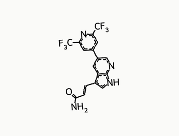 NC(=O)C=Cc1c[nH]c2ncc(-c3cc(C(F)(F)F)nc(C(F)(F)F)c3)cc12